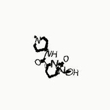 CN1CCC(NC(=O)[C@@H]2CCC3CN2C(=O)N3O)CC1